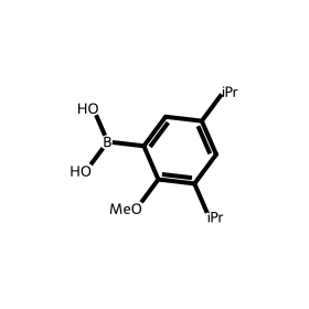 COc1c(B(O)O)cc(C(C)C)cc1C(C)C